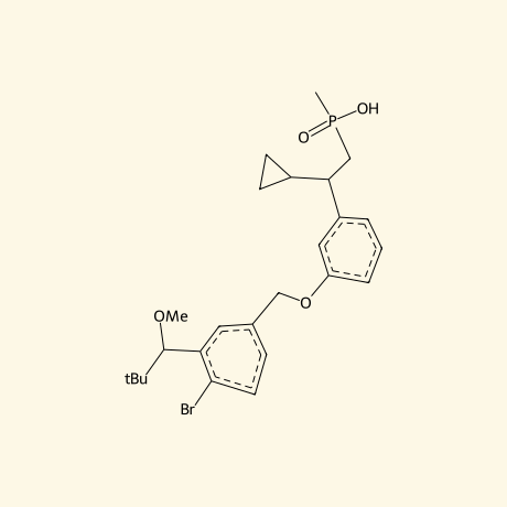 COC(c1cc(COc2cccc(C(CP(C)(=O)O)C3CC3)c2)ccc1Br)C(C)(C)C